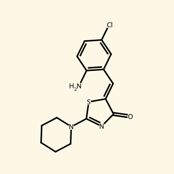 Nc1ccc(Cl)cc1/C=C1\SC(N2CCCCC2)=NC1=O